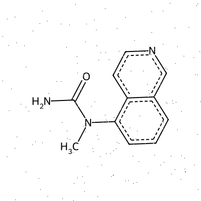 CN(C(N)=O)c1cccc2cnccc12